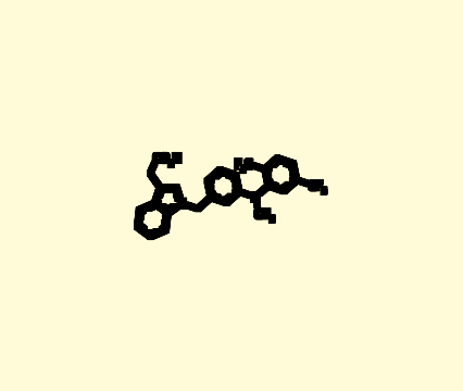 CN(c1cccc(Cn2cc(CC(=O)O)c3ccccc32)c1)c1cc(C(F)(F)F)ccc1C(F)(F)F